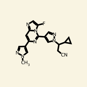 Cn1cc(-c2cc3ncc(F)n3c(-c3cnn(C(CC#N)C4CC4)c3)n2)cn1